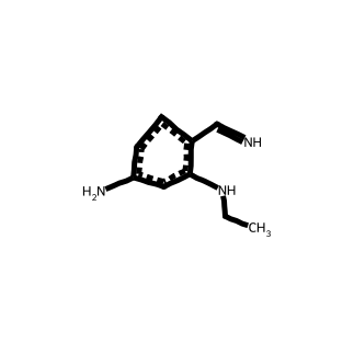 CCNc1cc(N)ccc1C=N